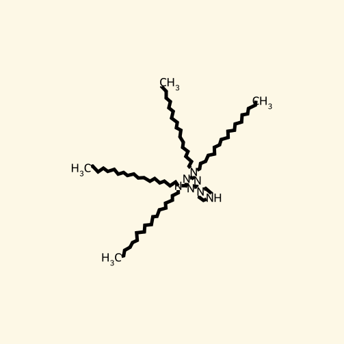 CCCCCCCCCCCCCCCCCCN(CCCCCCCCCCCCCCCCCC)c1nc(N(CCCCCCCCCCCCCCCCCC)CCCCCCCCCCCCCCCCCC)nc(N2CCNCC2)n1